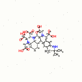 CC(C)(C)Nc1ccc(C[C@@H](CN(CC(=O)O)C2CCCCC2N(CC(=O)O)CC(=O)O)N(CC(=O)O)CC(=O)O)cc1